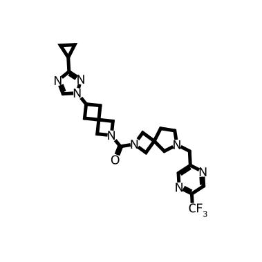 O=C(N1CC2(CC(n3cnc(C4CC4)n3)C2)C1)N1CC2(CCN(Cc3cnc(C(F)(F)F)cn3)C2)C1